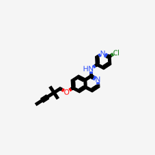 CC#CC(C)(C)COc1ccc2c(Nc3ccc(Cl)nc3)nccc2c1